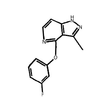 Cc1n[nH]c2ccnc(Oc3cccc(F)c3)c12